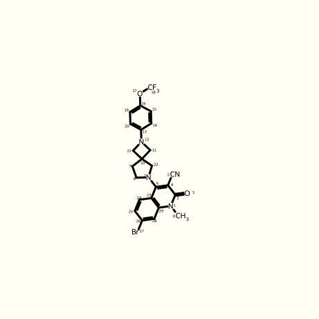 Cn1c(=O)c(C#N)c(N2CCC3(CN(c4ccc(OC(F)(F)F)cc4)C3)C2)c2ccc(Br)cc21